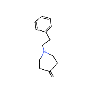 C=C1CCN(CCc2ccccc2)CC1